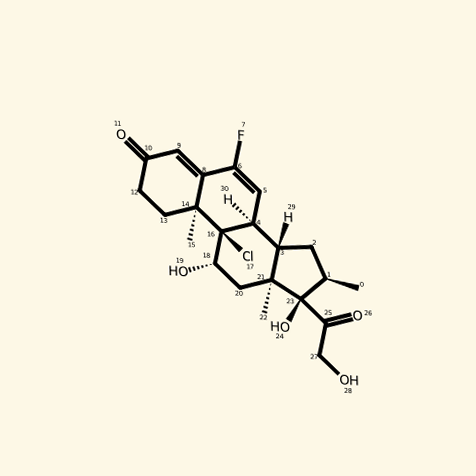 C[C@@H]1C[C@H]2[C@@H]3C=C(F)C4=CC(=O)CC[C@]4(C)[C@@]3(Cl)[C@@H](O)C[C@]2(C)[C@@]1(O)C(=O)CO